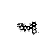 CCC1=Nc2cccc3nc4c(c(c23)N1CC(C)C)Cn1c-4cc2c(c1=O)COC(=O)[C@]2(O)CC